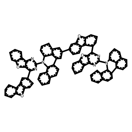 c1ccc2c3c(ccc2c1)-c1cc(-c2ccc4c(c2)oc2cccc(-c5nc(N6c7c(ccc8ccccc78)-c7cccc8cccc6c78)nc6c5oc5ccccc56)c24)cc2cccc(c12)N3c1nc(-c2ccc3oc4ccccc4c3c2)c2oc3ccccc3c2n1